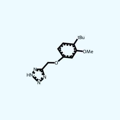 COc1cc(OCc2nn[nH]n2)ccc1C(C)(C)C